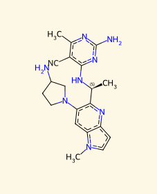 Cc1nc(N)nc(N[C@@H](C)c2nc3ccn(C)c3cc2N2CCC(N)C2)c1C#N